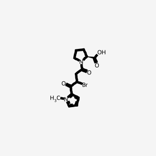 Cn1cccc1C(=O)C(Br)CC(=O)N1CCC[C@H]1C(=O)O